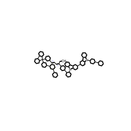 C=C/C(=C\C=C\c1cccc(C2(c3cccc(-c4cccc(-c5ccccc5)c4)c3)c3ccccc3-c3ccccc32)c1)c1ccc(-c2ccccc2-n2c3ccccc3c3cc(-c4ccc5c(c4)c4ccccc4n5-c4ccc(-c5ccccc5)cc4)ccc32)cc1